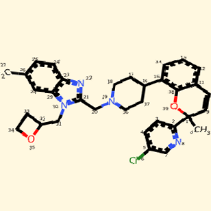 CC1(c2ccc(Cl)cn2)C=Cc2cccc(C3CCN(Cc4nc5ccc(C(=O)O)cc5n4CC4CCO4)CC3)c2O1